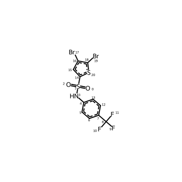 O=S(=O)(Nc1ccc(C(F)(F)F)cc1)c1cc(Br)c(Br)s1